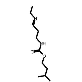 CC/N=C/CCNC(=O)OCCC(C)C